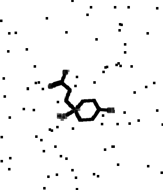 C[N+]1(CCC(=O)[O-])CCC(O)CC1